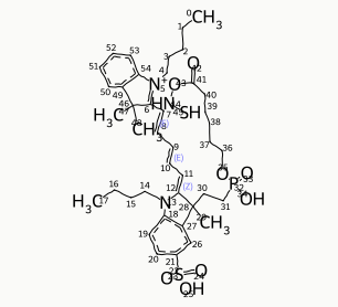 CCCCC[N+]1=C(/C=C/C=C/C=C2\N(CCCC)c3ccc(S(=O)(=O)O)cc3C2(C)CCP(=O)(O)OCCCCCC(=O)ONS)C(C)(C)c2ccccc21